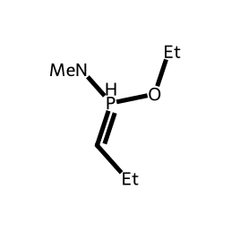 CCC=[PH](NC)OCC